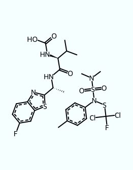 CC(C)[C@H](NC(=O)O)C(=O)N[C@H](C)c1nc2ccc(F)cc2s1.Cc1ccc(N(SC(F)(Cl)Cl)S(=O)(=O)N(C)C)cc1